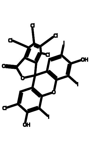 O=C1OC2(c3cc(Cl)c(O)c(I)c3Oc3c2cc(I)c(O)c3I)c2c(Cl)c(Cl)c(Cl)c(Cl)c21